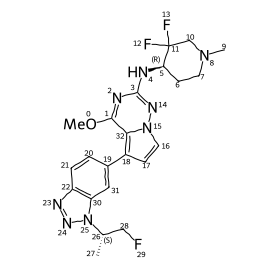 COc1nc(N[C@@H]2CCN(C)CC2(F)F)nn2ccc(-c3ccc4nnn([C@@H](C)CF)c4c3)c12